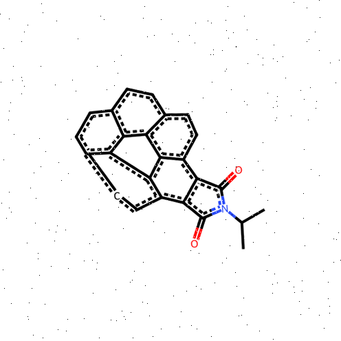 CC(C)n1c(=O)c2c3ccc4ccc5ccc6ccc(c2c1=O)c1c6c5c4c31